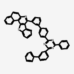 c1ccc(-c2cccc(-c3nc(-c4ccccc4)nc(-c4ccc(-c5cccc(-c6nc7ccc8ccccc8c7c7sc8ccccc8c67)c5)cc4)n3)c2)cc1